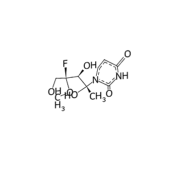 CO[C@](F)(CO)[C@@H](O)[C@@](C)(O)n1ccc(=O)[nH]c1=O